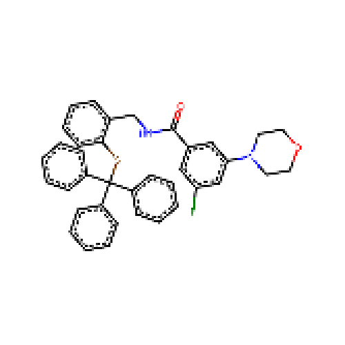 O=C(NCc1ccccc1SC(c1ccccc1)(c1ccccc1)c1ccccc1)c1cc(F)cc(N2CCOCC2)c1